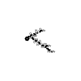 CC(C)NCCCC[C@H](NC(=O)COCC(=O)NCC(=O)NCC(=O)N[C@@H](Cc1ccccc1)C(=O)NCC(=O)NCOCC(=O)C(C)C)C(=O)C(C)C